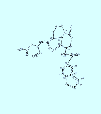 O=CC(CC(=O)O)NC(=O)C1CCCN2C(=O)CCN(NC(=O)c3ccc4ncccc4c3)C(=O)N12